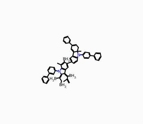 BC/C(B)=c1\c(=C(\B)C(=C)C)c2cc(-c3ccc4c(c3)C3=CC(c5ccccc5)=CCC3(C)N4c3ccc(-c4ccccc4)cc3)c(B)c(C)c2n1-c1cccc(-c2ccccc2)c1